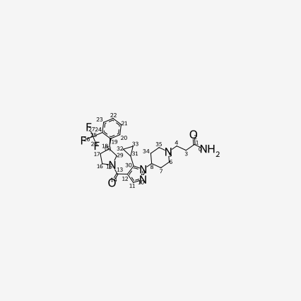 NC(=O)CCN1CCC(n2ncc(C(=O)N3CC[C@@H](c4ccccc4C(F)(F)F)C3)c2C2CC2)CC1